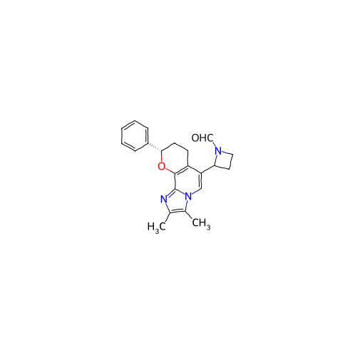 Cc1nc2c3c(c(C4CCN4C=O)cn2c1C)CC[C@@H](c1ccccc1)O3